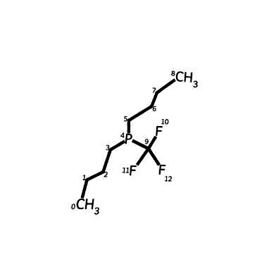 CCCCP(CCCC)C(F)(F)F